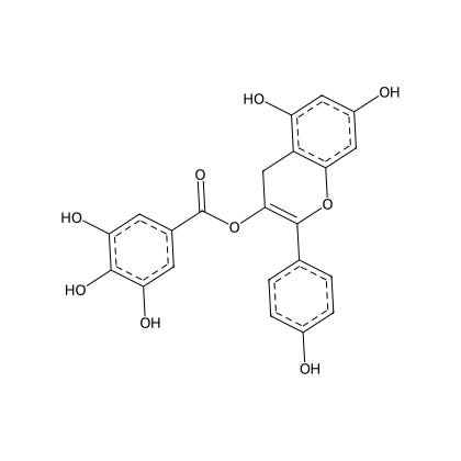 O=C(OC1=C(c2ccc(O)cc2)Oc2cc(O)cc(O)c2C1)c1cc(O)c(O)c(O)c1